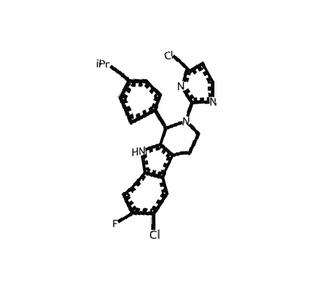 CC(C)c1ccc(C2c3[nH]c4cc(F)c(Cl)cc4c3CCN2c2nccc(Cl)n2)cc1